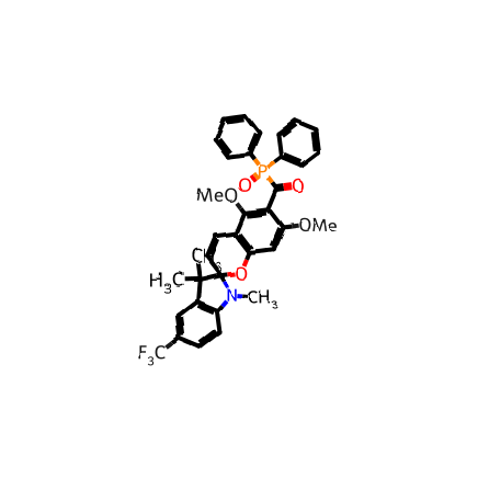 COc1cc2c(c(OC)c1C(=O)P(=O)(c1ccccc1)c1ccccc1)C=CC1(O2)N(C)c2ccc(C(F)(F)F)cc2C1(C)C